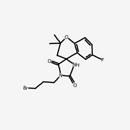 CC1(C)CC2(NC(=O)N(CCCBr)C2=O)c2cc(F)ccc2O1